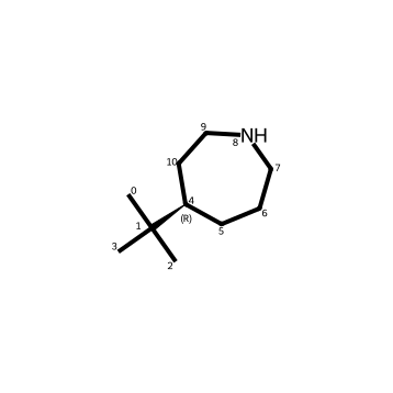 CC(C)(C)[C@@H]1CCCNCC1